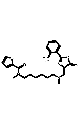 CN(C=C1N=C(c2ccccc2C(F)(F)F)OC1=O)CCCCCCN(C)C(=O)c1ccco1